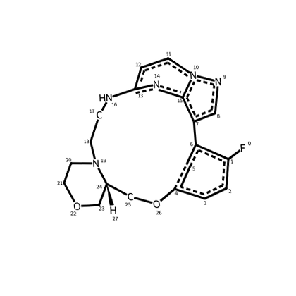 Fc1ccc2cc1-c1cnn3ccc(nc13)NCCN1CCOC[C@H]1CO2